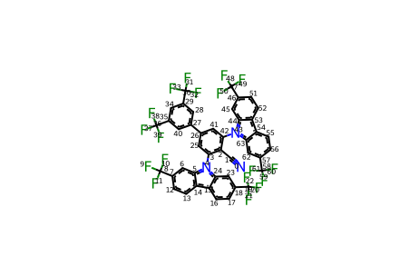 N#Cc1c(-n2c3cc(C(F)(F)F)ccc3c3ccc(C(F)(F)F)cc32)cc(-c2cc(C(F)(F)F)cc(C(F)(F)F)c2)cc1-n1c2cc(C(F)(F)F)ccc2c2ccc(C(F)(F)F)cc21